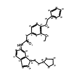 COc1cc(CC(=O)Nc2ccc3cnn(CCN4CCCC4)c3c2)ccc1OCc1ccccc1